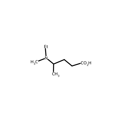 CCN(C)C(C)CCC(=O)O